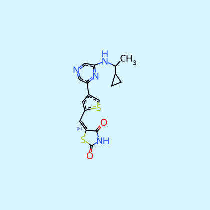 CC(Nc1cncc(-c2csc(/C=C3/SC(=O)NC3=O)c2)n1)C1CC1